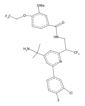 COc1cc(C(=O)NCC(c2cc(C(C)(C)N)cc(-c3ccc(F)c(Cl)c3)n2)C(F)(F)F)ccc1OCC(F)(F)F